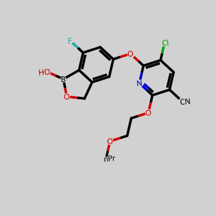 CCCOCCOc1nc(Oc2cc(F)c3c(c2)COB3O)c(Cl)cc1C#N